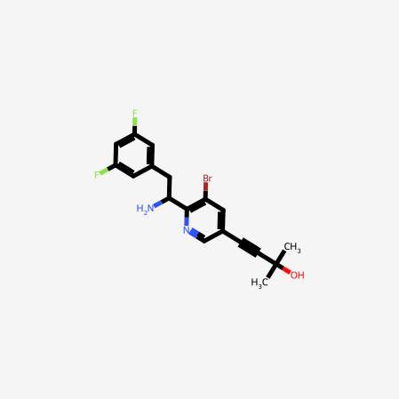 CC(C)(O)C#Cc1cnc(C(N)Cc2cc(F)cc(F)c2)c(Br)c1